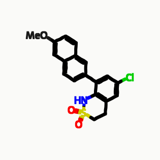 COc1ccc2cc(-c3cc(Cl)cc4c3NS(=O)(=O)CC4)ccc2c1